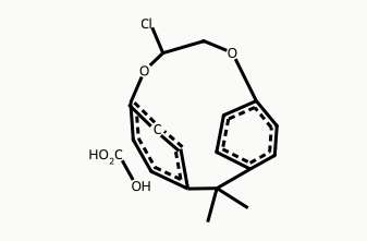 CC1(C)c2ccc(cc2)OCC(Cl)Oc2ccc1cc2.O=C(O)O